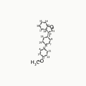 COc1ccc(-c2ccc(-c3coc4ccccc34)cc2)cc1